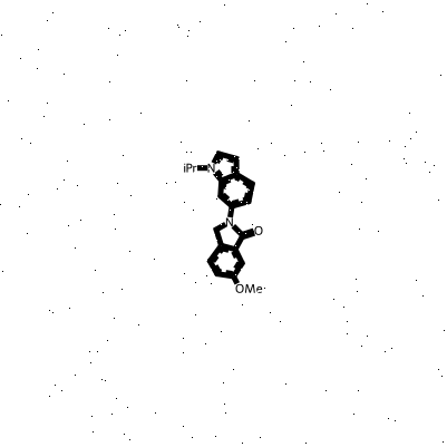 COc1ccc2c(c1)C(=O)N(c1ccc3ccn(C(C)C)c3c1)C2